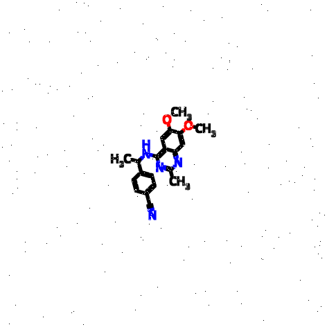 COc1cc2nc(C)nc(NC(C)c3ccc(C#N)cc3)c2cc1OC